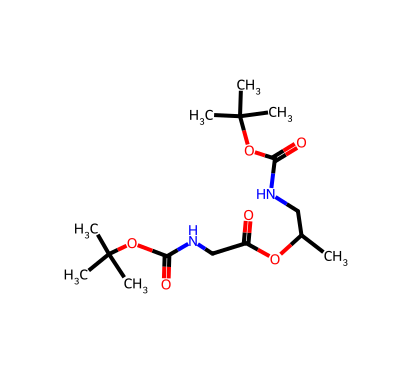 CC(CNC(=O)OC(C)(C)C)OC(=O)CNC(=O)OC(C)(C)C